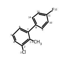 Cc1c(Cl)cccc1-c1ccc(F)cc1